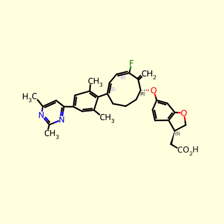 C=C1/C(F)=C\C=C(\c2c(C)cc(-c3cc(C)nc(C)n3)cc2C)CCC[C@H]1Oc1ccc2c(c1)OC[C@H]2CC(=O)O